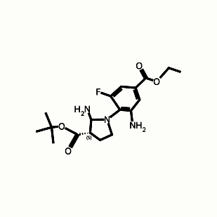 CCOC(=O)c1cc(N)c(N2CC[C@H](C(=O)OC(C)(C)C)C2N)c(F)c1